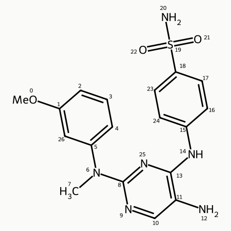 COc1cccc(N(C)c2ncc(N)c(Nc3ccc(S(N)(=O)=O)cc3)n2)c1